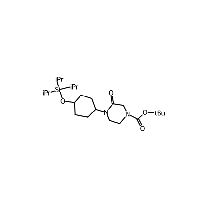 CC(C)[Si](OC1CCC(N2CCN(C(=O)OC(C)(C)C)CC2=O)CC1)(C(C)C)C(C)C